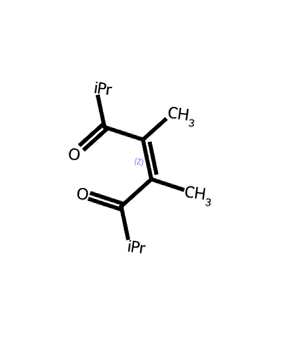 C/C(C(=O)C(C)C)=C(\C)C(=O)C(C)C